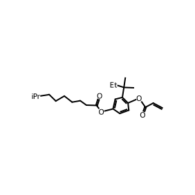 C=CC(=O)Oc1ccc(OC(=O)CCCCCCC(C)C)cc1C(C)(C)CC